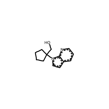 OCC1(n2ccc3cccnc32)CCCC1